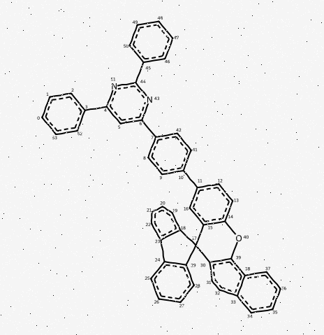 c1ccc(-c2cc(-c3ccc(-c4ccc5c(c4)C4(c6ccccc6-c6ccccc64)c4ccc6ccccc6c4O5)cc3)nc(-c3ccccc3)n2)cc1